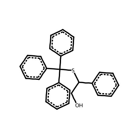 OCC(SC(c1ccccc1)(c1ccccc1)c1ccccc1)c1ccccc1